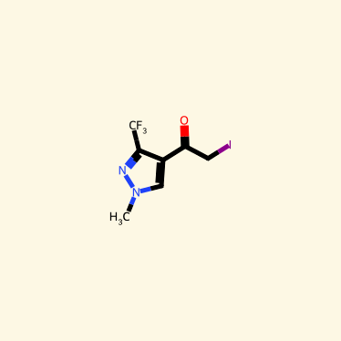 Cn1cc(C(=O)CI)c(C(F)(F)F)n1